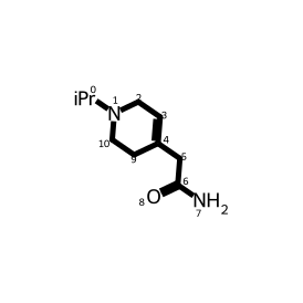 CC(C)N1CC=C(CC(N)=O)CC1